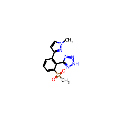 Cn1ccc(-c2cccc(S(C)(=O)=O)c2-c2nn[nH]n2)n1